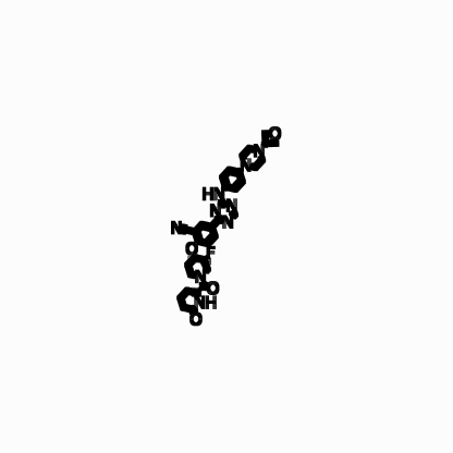 N#Cc1cc(-c2ncnc(Nc3ccc(N4CCN(C5COC5)CC4)cc3)n2)ccc1O[C@H]1CCN(C(=O)[C@@H]2CCCC(=O)N2)C[C@H]1F